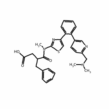 CN(C)Cc1ccc(-c2ccccc2-c2csc(N(C)C(=O)C(CC(=O)O)Cc3ccccc3)n2)cn1